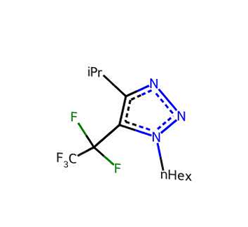 CCCCCCn1nnc(C(C)C)c1C(F)(F)C(F)(F)F